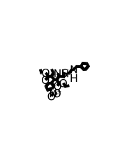 CCOC(=O)C1=C(C)NC(CSCCNCc2ccccc2)=C(C(=O)OCC)C1c1cccc([N+](=O)[O-])c1